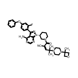 CC(C)(/C=C(/C#N)C(=O)N1CCC[C@@H](n2nc(-c3ccc(Oc4ccccc4)cc3F)c3c(N)ncnc32)C1)N1CCN(C2(C)COC2)CC1